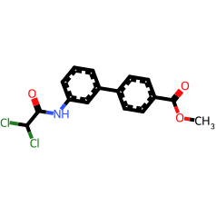 COC(=O)c1ccc(-c2cccc(NC(=O)C(Cl)Cl)c2)cc1